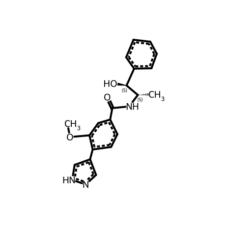 COc1cc(C(=O)N[C@@H](C)[C@@H](O)c2ccccc2)ccc1-c1cn[nH]c1